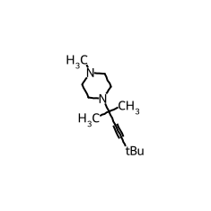 CN1CCN(C(C)(C)C#CC(C)(C)C)CC1